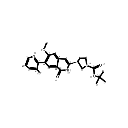 COc1cc2cc([C@H]3CCN(C(=O)OC(C)(C)C)C3)[nH]c(=O)c2cc1-c1ncccc1F